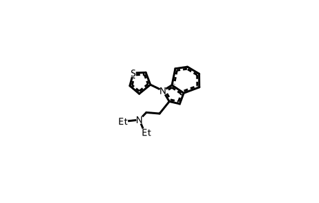 CCN(CC)CCc1cc2ccccc2n1-c1ccsc1